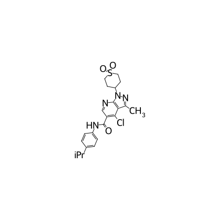 Cc1nn(C2CCS(=O)(=O)CC2)c2ncc(C(=O)Nc3ccc(C(C)C)cc3)c(Cl)c12